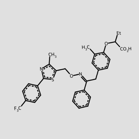 CCC(Oc1ccc(CC(=NOCc2sc(-c3ccc(C(F)(F)F)cc3)nc2C)c2ccccc2)cc1C)C(=O)O